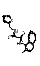 Cc1ccc2ccccc2c1NC(=O)C(=O)NCc1ccco1